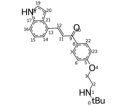 CC(C)(C)NCCOc1ccc(C(=O)/C=C/c2cccc3[nH]ccc23)cc1